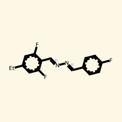 CCc1cc(F)c(/C=N/N=C/c2ccc(F)cc2)c(F)c1